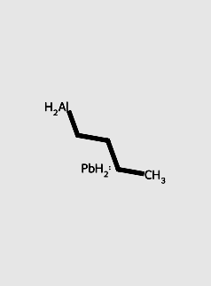 CCC[CH2][AlH2].[PbH2]